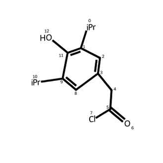 CC(C)c1cc(CC(=O)Cl)cc(C(C)C)c1O